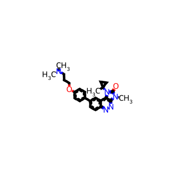 CN(C)CCCOc1ccc(-c2ccc3nnc4c(c3c2)n(C2(C)CC2)c(=O)n4C)cc1